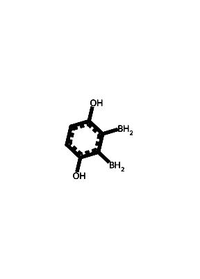 Bc1c(O)ccc(O)c1B